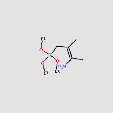 CCO[Si](CC(C)=C(C)N)(OCC)OCC